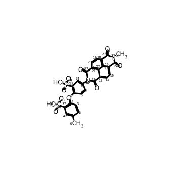 Cc1ccc(Oc2ccc(N3C(=O)c4ccc5c6c(ccc(c46)C3=O)C(=O)N(C)C5=O)cc2S(=O)(=O)O)c(S(=O)(=O)O)c1